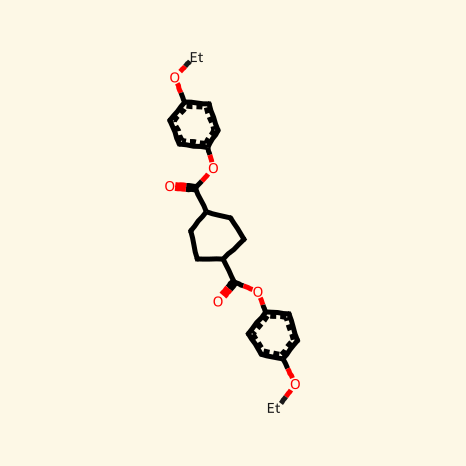 CCOc1ccc(OC(=O)C2CCC(C(=O)Oc3ccc(OCC)cc3)CC2)cc1